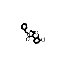 CC12CN(Cc3ccccc3)C(=O)C1c1cccc(Cl)c1CO2